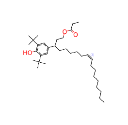 CCCCCCCC/C=C\CCCCCC(CCOC(=O)CC)c1cc(C(C)(C)C)c(O)c(C(C)(C)C)c1